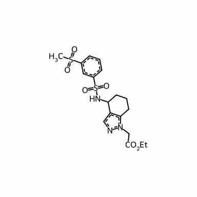 CCOC(=O)Cn1ncc2c1CCCC2NS(=O)(=O)c1cccc(S(C)(=O)=O)c1